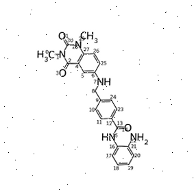 Cn1c(=O)c2cc(NCc3ccc(C(=O)Nc4ccccc4N)cc3)ccc2n(C)c1=O